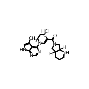 Cc1c[nH]c2ncnc(N3C=C(C(=O)N4C[C@H]5CCCN[C@H]5C4)SCC3)c12.Cl